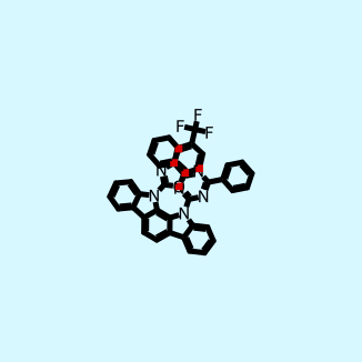 FC(F)(F)c1ccc2oc(-n3c4ccccc4c4ccc5c6ccccc6n(-c6nc(C7=CC=CCC7)nc(-c7ccccc7)n6)c5c43)nc2c1